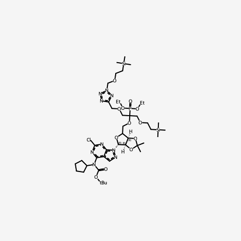 CCOP(=O)(OCC)C(COCC[Si](C)(C)C)(COCc1nnn(COCC[Si](C)(C)C)n1)OCC1O[C@@H](n2ncc3c(N(C(=O)OC(C)(C)C)C4CCCC4)nc(Cl)nc32)[C@@H]2OC(C)(C)O[C@H]12